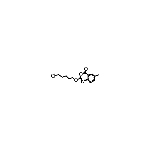 Cc1ccc2nc(OCCCCCCl)oc(=O)c2c1